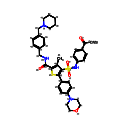 COC(=O)c1ccc(NS(=O)(=O)c2c(-c3ccc(N4CCOCC4)cc3)sc(C(=O)NCc3ccc(CN4CCCCC4)cc3)c2C)cc1